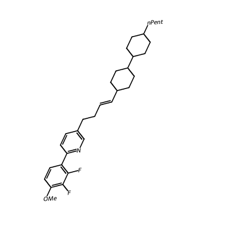 CCCCCC1CCC(C2CCC(/C=C/CCc3ccc(-c4ccc(OC)c(F)c4F)nc3)CC2)CC1